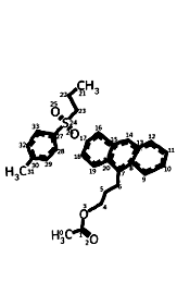 CC(=O)OCCCc1c2ccccc2cc2ccccc12.CCCS(=O)(=O)c1ccc(C)cc1